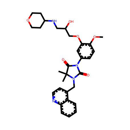 COc1ccc(N2C(=O)N(Cc3ccnc4ccccc34)C(C)(C)C2=O)cc1OCC(O)CNC1CCOCC1